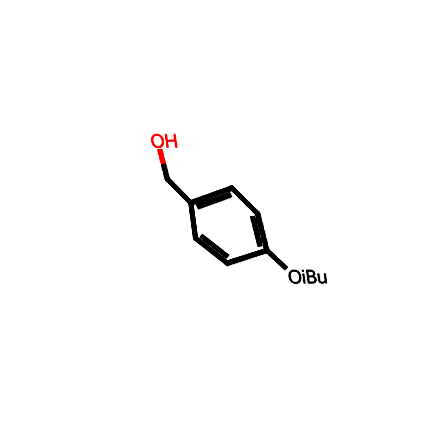 CC(C)COc1ccc(CO)cc1